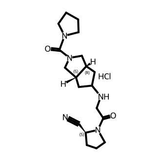 Cl.N#C[C@@H]1CCCN1C(=O)CNC1C[C@@H]2CN(C(=O)N3CCCC3)C[C@@H]2C1